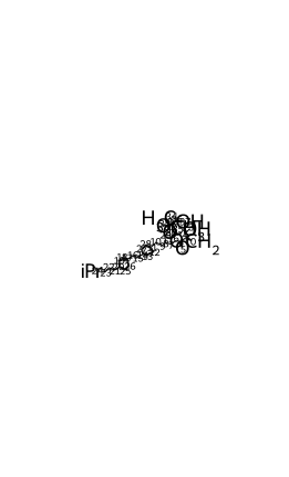 C=C(CO)C(=O)OCC(CCc1ccc(CCc2ccc(CCCC(C)C)cc2)cc1)COC(=O)C(C)(C)CO